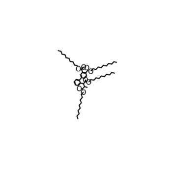 CCCCCCCCCCOC(=O)c1ccc(-c2ccccc2C(C(=O)OCCCCCCCCCC)C(C)C(=O)OCCCCCCCCCC)cc1C(=O)OCCCCCCCCCC